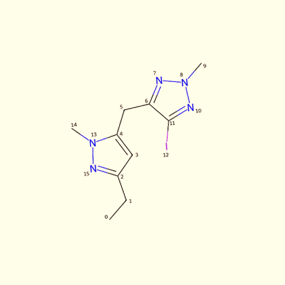 CCc1cc(Cc2nn(C)nc2I)n(C)n1